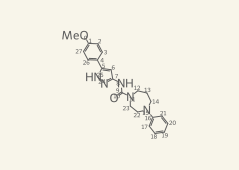 COc1ccc(-c2cc(NC(=O)N3CCCN(c4ccccc4)CC3)n[nH]2)cc1